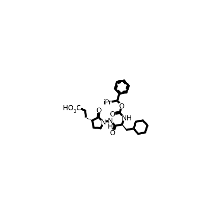 CC(C)C(OC(=O)N[C@@H](CC1CCCCC1)C(=O)NN1CC[C@H](CCC(=O)O)C1=O)c1ccccc1